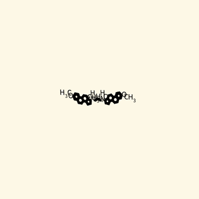 COc1ccc2c(c1)CCC1C2CC[C@]2(C)C(NCCCNC3CCC4C5CCc6cc(OC)ccc6C5CC[C@]34C)CCC12